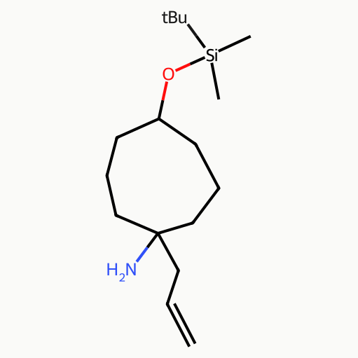 C=CCC1(N)CCCC(O[Si](C)(C)C(C)(C)C)CCC1